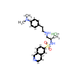 C[C@H](CNCCc1ccc(N(C)C)cc1)NS(=O)(=O)c1ccc2cnccc2c1.Cl